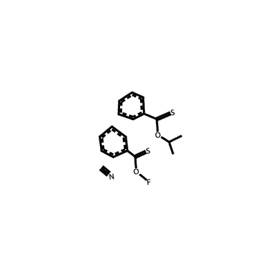 C#N.CC(C)OC(=S)c1ccccc1.FOC(=S)c1ccccc1